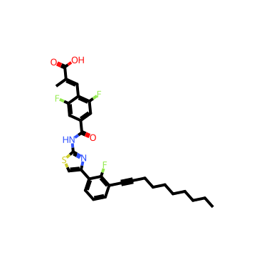 CCCCCCCCC#Cc1cccc(-c2csc(NC(=O)c3cc(F)c(/C=C(\C)C(=O)O)c(F)c3)n2)c1F